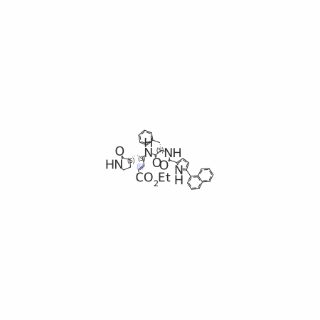 CCOC(=O)/C=C/[C@H](C[C@@H]1CCNC1=O)NC(=O)[C@H](Cc1ccccc1)NC(=O)c1ccc(-c2cccc3ccccc23)[nH]1